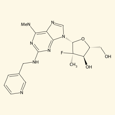 CNc1nc(NCc2cccnc2)nc2c1ncn2[C@@H]1O[C@H](CO)[C@@H](O)[C@@]1(C)F